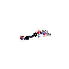 COC(=O)[C@H](CNC(=O)OC(C)(C)C)NC(=O)c1ccc(C#C/C=C/c2ccc(CN3CCOCC3)cc2)cc1